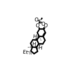 CC[C@H]1CC[C@H]2[C@@H]3CCC4=CC(=O)C(OS(C)(=O)=O)C[C@]4(C)[C@H]3CC[C@]12C